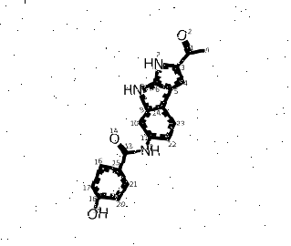 CC(=O)c1cc2c([nH]1)[nH]c1cc(NC(=O)c3ccc(O)cc3)ccc12